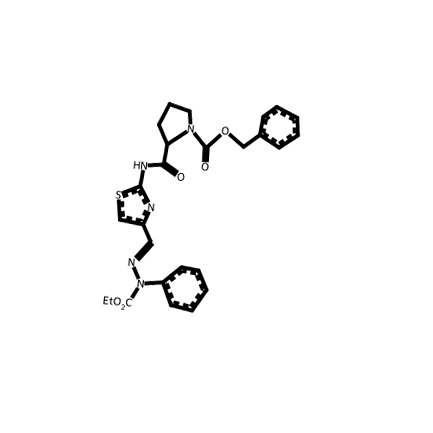 CCOC(=O)N(N=Cc1csc(NC(=O)C2CCCN2C(=O)OCc2ccccc2)n1)c1ccccc1